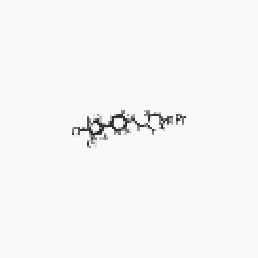 CCCC1CCC(CCc2ccc(-c3cnc(Cl)c(Cl)c3)cc2)CC1